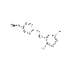 CCc1ccc(CC)c(OCc2ccc(OC)cc2)c1